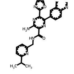 CC(C)c1cccc(CNC(=O)c2nc(-c3ccc4ncccc4c3)c(-c3ncco3)nc2N)n1